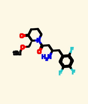 CC(C)(C)OC[C@@H]1C(=O)CCCN1C(=O)C[C@H](N)Cc1cc(F)c(F)cc1F